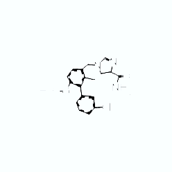 COc1ccc(CN2C=NC(C(N)=O)C2)c(F)c1-c1cccc(Cl)c1